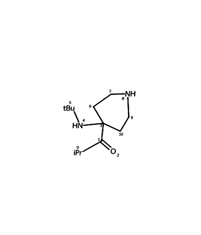 CC(C)C(=O)C1(NC(C)(C)C)CCNCC1